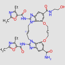 CCc1nc(C)oc1C(=O)Nc1nc2cc(C(N)=O)cc3c2n1C/C=C/Cn1c(NC(=O)c2oc(C)nc2CC)nc2cc(C(=O)NCCO)cc(c21)OCCCO3